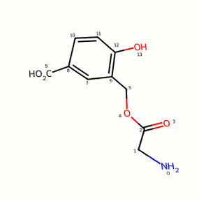 NCC(=O)OCc1cc(C(=O)O)ccc1O